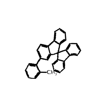 Cc1ccccc1-c1ccc2c(c1)C1(c3ccccc3-c3ccccc31)c1ccccc1-2